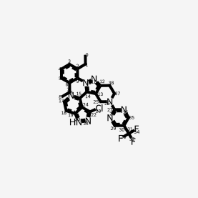 CCc1cccc(CC)c1-n1nc2c(c1-c1nccc3[nH]nc(Cl)c13)CN(c1ncc(C(F)(F)F)cn1)CC2